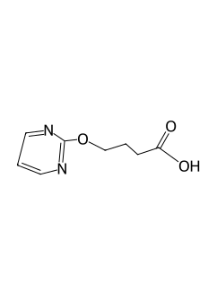 O=C(O)CCCOc1ncccn1